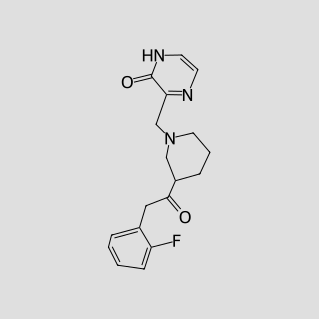 O=C(Cc1ccccc1F)C1CCCN(Cc2ncc[nH]c2=O)C1